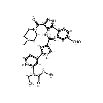 CN1CCN(C(=O)c2n[nH]c(-c3ccc(C=O)cc3)c2NC(=O)c2coc(-c3ccnc(N(CC(F)(F)F)C(=O)OC(C)(C)C)c3)n2)CC1